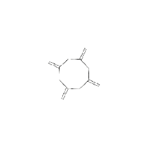 C=C1CC(=C)CC(=C)CC(=C)C1